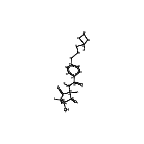 CNC(=O)[C@@](C)(C(=O)NO)N(C)C(=O)c1ccc(CCCC2(C)COC2)cc1